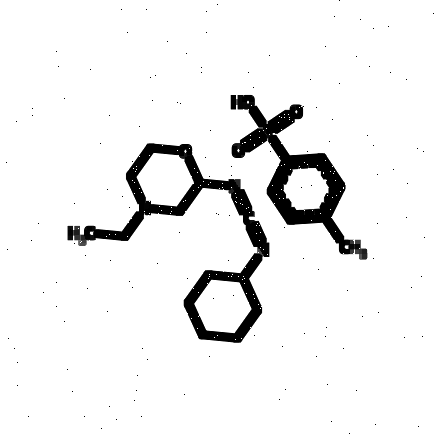 CCN1CCOC(N=C=NC2CCCCC2)C1.Cc1ccc(S(=O)(=O)O)cc1